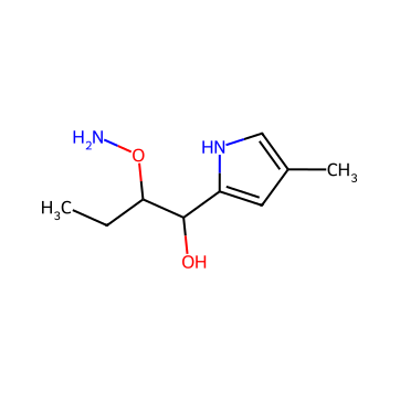 CCC(ON)C(O)c1cc(C)c[nH]1